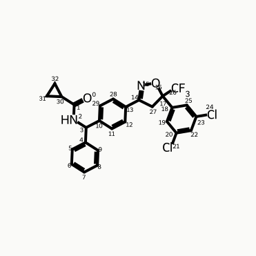 O=C(NC(c1ccccc1)c1ccc(C2=NOC(c3cc(Cl)cc(Cl)c3)(C(F)(F)F)C2)cc1)C1CC1